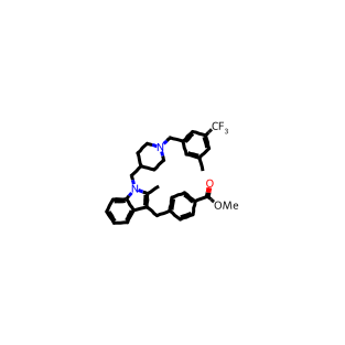 COC(=O)c1ccc(Cc2c(C)n(CC3CCN(Cc4cc(C)cc(C(F)(F)F)c4)CC3)c3ccccc23)cc1